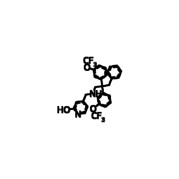 Oc1cc(CNCC(Cc2ccccc2)(c2cccc(OC(F)(F)F)c2)c2cccc(OC(F)(F)F)c2)ccn1